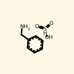 NCc1ccccc1.O=[SH](=O)O